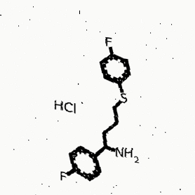 Cl.NC(CCCSc1ccc(F)cc1)c1ccc(F)cc1